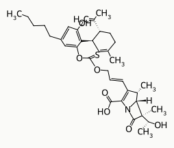 C=C(C)[C@@H]1CCC(C)=C[C@H]1c1c(O)cc(CCCCC)cc1OC(=S)OC/C=C/C1=C(C(=O)O)N2C(=O)[C@](C)([C@@H](C)O)[C@H]2[C@H]1C